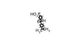 CN(C)c1ccc(C(=O)Nc2ccc(C(=O)O)cc2)cc1